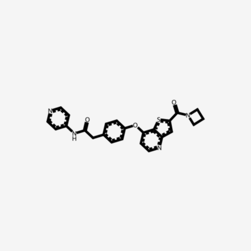 O=C(Cc1ccc(Oc2ccnc3cc(C(=O)N4CCC4)sc23)cc1)Nc1ccncc1